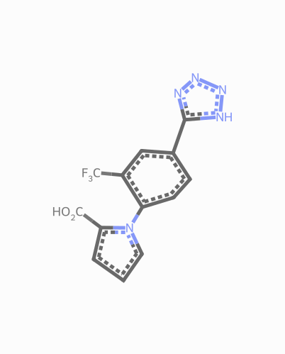 O=C(O)c1cccn1-c1ccc(-c2nnn[nH]2)cc1C(F)(F)F